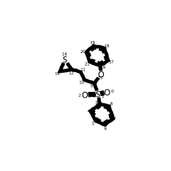 O=S(=O)(c1ccccc1)C(CCC1CS1)Oc1ccccc1